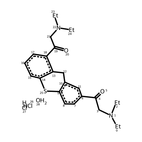 CCN(CC)CC(=O)c1ccc2c(c1)Cc1c(cccc1C(=O)CN(CC)CC)S2.Cl.Cl.O